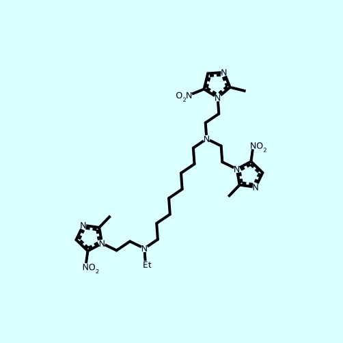 CCN(CCCCCCCCN(CCn1c([N+](=O)[O-])cnc1C)CCn1c([N+](=O)[O-])cnc1C)CCn1c([N+](=O)[O-])cnc1C